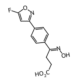 O=C(O)CCC(=NO)c1ccc(-c2cc(F)on2)cc1